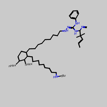 C=NC(N/C(=N\NCCCCCCCCCC1CCC(CCCCCC)C(CCCCCC)C1CCCCCCCCCNC(C)(C)C)Nc1ccccc1)C(C)(C)C=CC